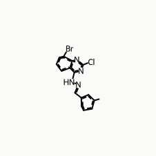 Cc1cccc(C=NNc2nc(Cl)nc3c(Br)cccc23)c1